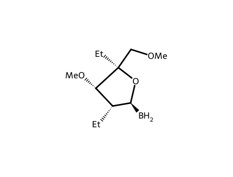 B[C@@H]1O[C@](CC)(COC)[C@@H](OC)[C@H]1CC